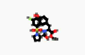 CC(C)(C)OC(=O)[C@H](Cc1ccc(O)cc1)NC(=O)[C@@H]1CCCN1S(=O)(=O)c1cccc(F)c1